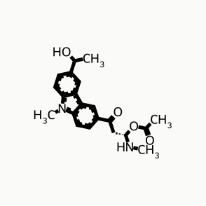 CN[C@H](CC(=O)c1ccc2c(c1)c1cc(C(C)O)ccc1n2C)OC(C)=O